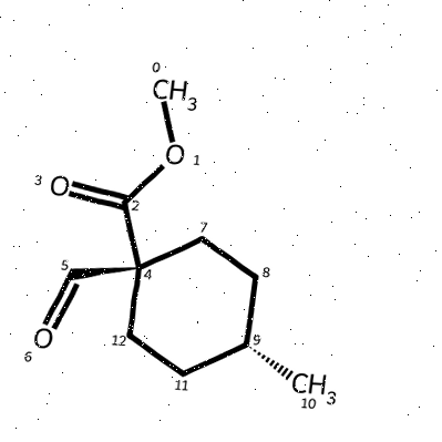 COC(=O)[C@]1(C=O)CC[C@H](C)CC1